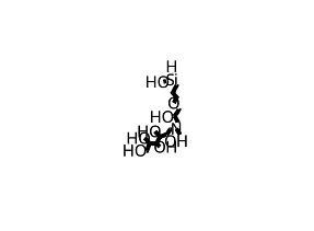 CN(CC(O)COCCC[SiH](C)O)CC(O)C(O)C(O)C(O)CO